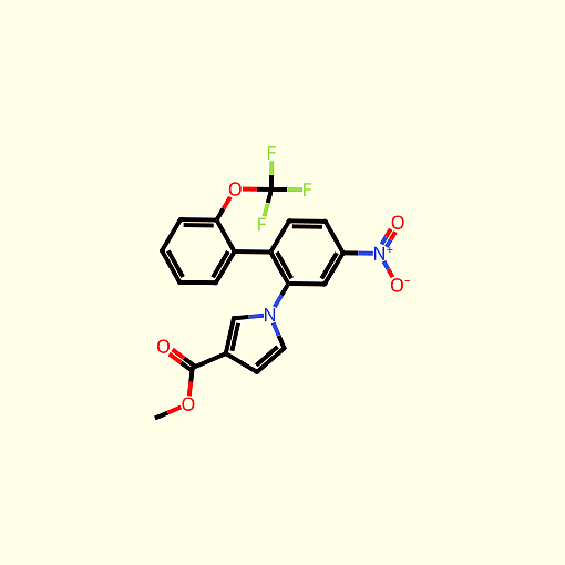 COC(=O)c1ccn(-c2cc([N+](=O)[O-])ccc2-c2ccccc2OC(F)(F)F)c1